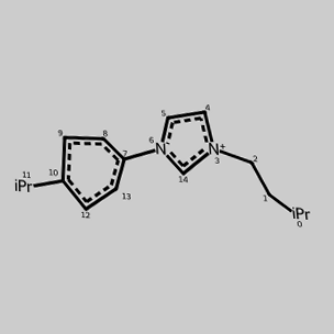 CC(C)CC[n+]1ccn(-c2ccc(C(C)C)cc2)c1